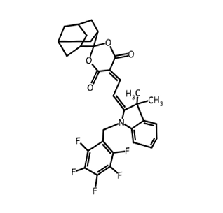 CC1(C)/C(=C\C=C2C(=O)OC3(OC2=O)C2CC4CC(C2)CC3C4)N(Cc2c(F)c(F)c(F)c(F)c2F)c2ccccc21